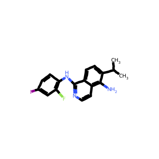 CC(C)c1ccc2c(Nc3ccc(I)cc3F)nccc2c1N